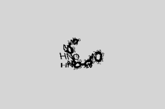 O=C(Nc1ccc(CN2CCC2)nc1)c1n[nH]c2ccc(-c3cncc(CN4CCCCCC4)c3)cc12